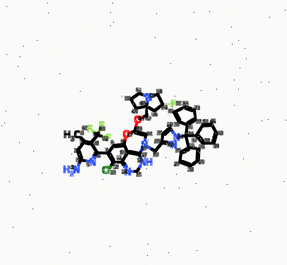 Cc1cc(N)nc(-c2cc3c4c(c2Cl)=NCNC=4N(Cc2ccn(C(c4ccccc4)(c4ccccc4)c4ccccc4)n2)C=C(OC[C@@]24CCCN2C[C@H](F)C4)O3)c1C(F)(F)F